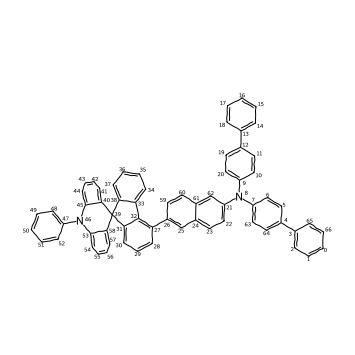 c1ccc(-c2ccc(N(c3ccc(-c4ccccc4)cc3)c3ccc4cc(-c5cccc6c5-c5ccccc5C65c6ccccc6N(c6ccccc6)c6ccccc65)ccc4c3)cc2)cc1